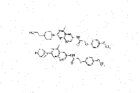 Cc1nc(N2CC3CC2CN3)nc2ncc(NC(=O)COc3ccc(OC(F)(F)F)cc3)cc12.Cc1nc(N2CCN(CCO)CC2)nc2ncc(NC(=O)COc3ccc(OC(F)(F)F)cc3)cc12